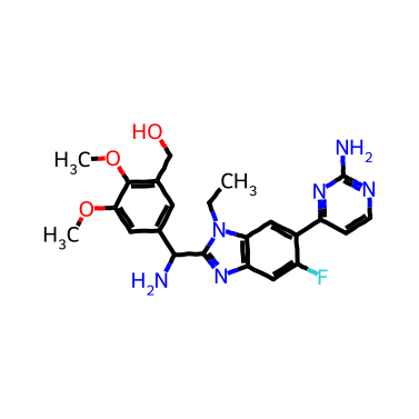 CCn1c(C(N)c2cc(CO)c(OC)c(OC)c2)nc2cc(F)c(-c3ccnc(N)n3)cc21